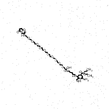 CCCN(OCC)C(=O)C1=CC(NCCCCCNC(O)CCOCCOCCOCCOCCOCCOCCOCCOCCOCCOCCNC(=O)CN2C(=O)C=CC2=O)=C(C=N)N=C(N)C1